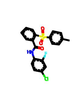 Cc1ccc(S(=O)(=O)c2ccccc2C(=O)Nc2ccc(Cl)cc2F)cc1